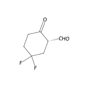 O=C[C@@H]1CC(F)(F)CCC1=O